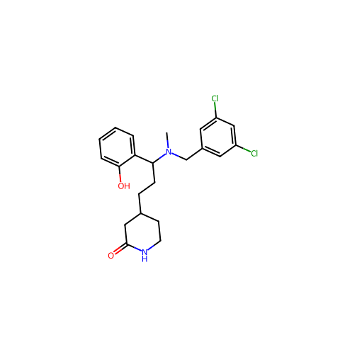 CN(Cc1cc(Cl)cc(Cl)c1)C(CCC1CCNC(=O)C1)c1ccccc1O